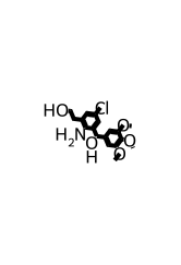 COc1cc(C(O)c2cc(Cl)cc(CCO)c2N)cc(OC)c1OC